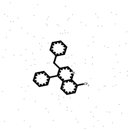 FC(F)(F)c1cccc2c(-c3ccccc3)c(Cc3ccccc3)cnc12